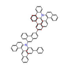 c1ccc(-c2cccc(N(c3ccc4ccccc4c3-c3ccc4ccccc4c3)c3cc4ccc(-c5ccc6cc(-c7c(N(c8ccccc8-c8ccccc8)c8cc9ccccc9c9ccccc89)ccc8ccccc78)ccc6c5)cc4c4ccccc34)c2)cc1